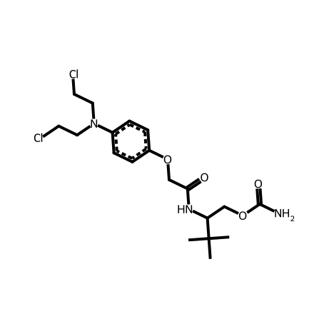 CC(C)(C)C(COC(N)=O)NC(=O)COc1ccc(N(CCCl)CCCl)cc1